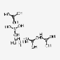 OB(O)O.OB(O)O.OB(O)O.OB(O)O.[LiH].[LiH].[LiH].[LiH]